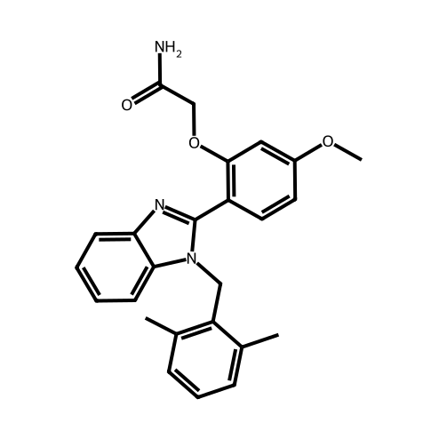 COc1ccc(-c2nc3ccccc3n2Cc2c(C)cccc2C)c(OCC(N)=O)c1